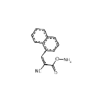 N#CC(=Cc1cccc2ccccc12)C(=O)ON